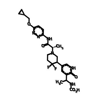 CC(NC(=O)O)c1cc(C2CN([C@@H](C)C(=O)Nc3ccc(OCC4CC4)nn3)CCC2(F)F)c[nH]c1=O